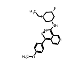 CCN1C[C@H](F)C[C@@H](Nc2nnc(-c3ccc(OC)cc3)c3ccncc23)C1